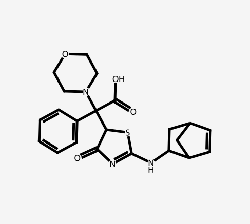 O=C1N=C(NC2CC3C=CC2C3)SC1C(C(=O)O)(c1ccccc1)N1CCOCC1